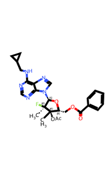 CC(=O)O[C@]1(C)[C@@H](COC(=O)c2ccccc2)O[C@H](n2cnc3c(NCC4CC4)ncnc32)[C@]1(C)F